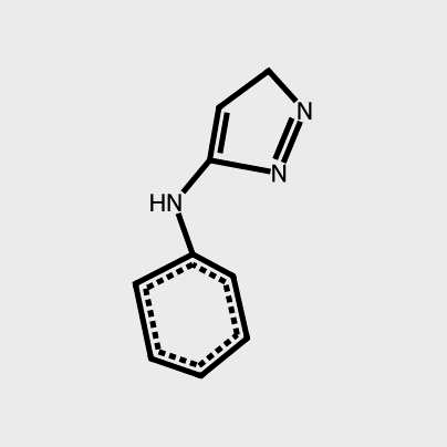 C1=C(Nc2ccccc2)N=NC1